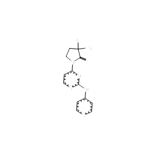 CCC1(C#N)CCN(c2ccnc(Nc3ccncc3)n2)C1=O